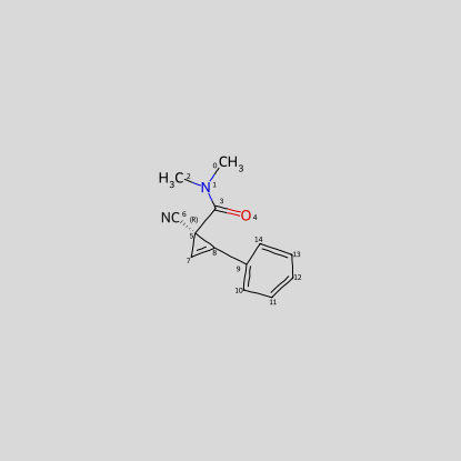 CN(C)C(=O)[C@]1(C#N)C=C1c1ccccc1